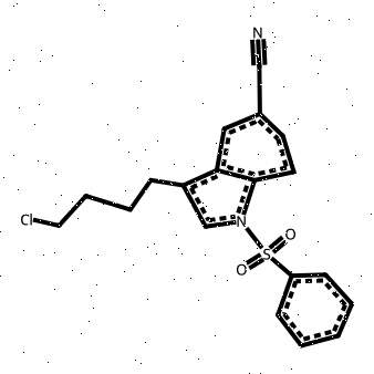 N#Cc1ccc2c(c1)c(CCCCCl)cn2S(=O)(=O)c1ccccc1